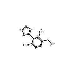 CC(C)Cc1ccc(O)c(-c2nccs2)c1O